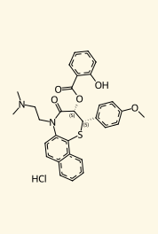 COc1ccc([C@@H]2Sc3c(ccc4ccccc34)N(CCN(C)C)C(=O)[C@@H]2OC(=O)c2ccccc2O)cc1.Cl